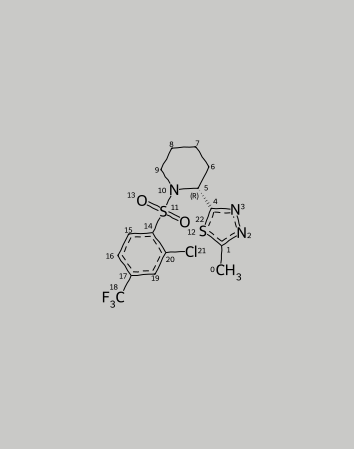 Cc1nnc([C@H]2CCCCN2S(=O)(=O)c2ccc(C(F)(F)F)cc2Cl)s1